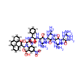 N=C(N)NC(NC(=O)C(NC(=N)N)NC(=O)C(NC(=N)N)NC(=O)C(NC(=N)N)NC(=O)C(NC(=O)C(O)N(CC1=CC2=C3C(=CC=C4C=CC=C1C43)CC=C2)c1c(C(=O)O)cc([N+](=O)[O-])cc1[N+](=O)[O-])c1ccccc1)C(N)=O